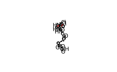 CC1(C#Cc2cccc3c2CN(C2CCC(=O)NC2=O)C3=O)CCN(C(=O)[C@H]2CC[C@H](NC(=O)[C@@H]3NC4(CCCCC4)C4(C(=O)Nc5cc(Cl)ccc54)[C@H]3c3cccc(Cl)c3F)CC2)CC1